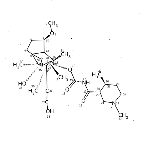 CO[C@@H]1CCC23CC[C@@H](C)[C@](C)(C12)[C@H](OC(=O)NC(=O)[C@H]1CN(C)CC[C@@H]1C)C[C@@](C)(CCO)[C@@H](O)[C@@H]3C